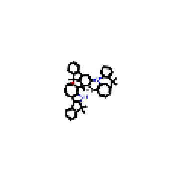 CC1(C)C2=C(C=CCC2)C2=C1C(C)(C1C#CC=Cc3c1[nH]c1c3-c3ccccc3C1(C)C)C1BC3=C4CC(=CC=C3)C(C)(C)c3ccccc3N4C1=C2